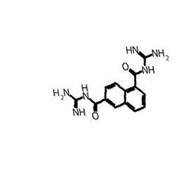 N=C(N)NC(=O)c1ccc2c(C(=O)NC(=N)N)cccc2c1